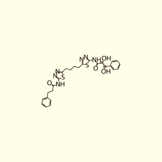 O=C(CCc1ccccc1)Nc1nnc(CCCCc2nnc(NC(=O)[C@@H](O)[C@H](O)c3ccccc3)s2)s1